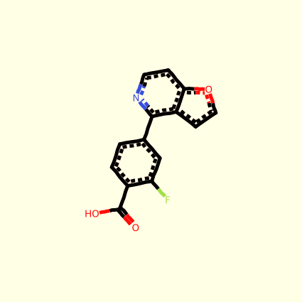 O=C(O)c1ccc(-c2nccc3occc23)cc1F